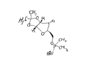 CC1(C)O[C@H]2O[C@H](CO[Si](C)(C)C(C)(C)C)C(=O)[C@H]2O1